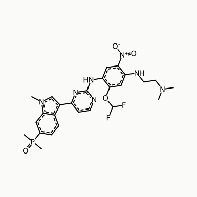 CN(C)CCNc1cc(OC(F)F)c(Nc2nccc(-c3cn(C)c4cc(P(C)(C)=O)ccc34)n2)cc1[N+](=O)[O-]